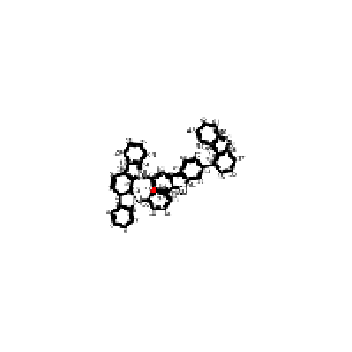 C1=CC2c3ccccc3N(c3ccccc3)C2c2c1c1ccccc1n2-c1ccc2oc3cc(-c4cccc5sc6ccccc6c45)ccc3c2c1